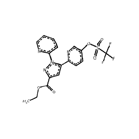 CCOC(=O)c1cc(-c2ccc(OS(=O)(=O)C(F)(F)F)cn2)n(-c2ccccn2)n1